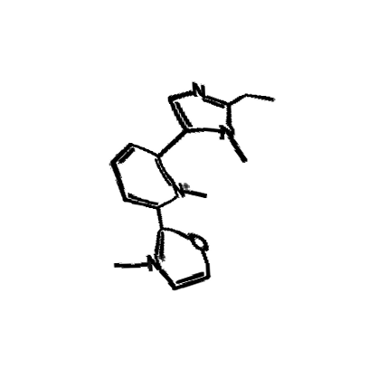 Cc1ncc(-c2cccc(-c3occ[n+]3C)[n+]2C)n1C